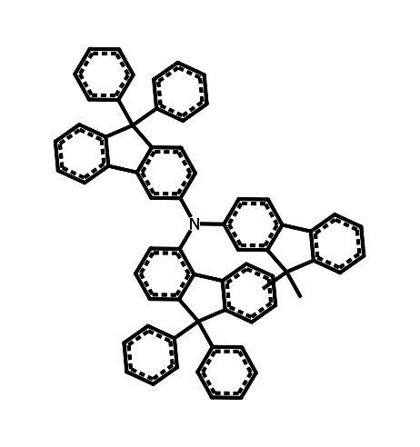 CC1(C)c2ccccc2-c2ccc(N(c3ccc4c(c3)-c3ccccc3C4(c3ccccc3)c3ccccc3)c3cccc4c3-c3ccccc3C4(c3ccccc3)c3ccccc3)cc21